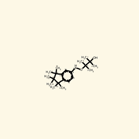 CC(C)(O)C(C)(C)OBc1ccc2c(c1)C(C)(C)C(C)(C)C2(C)C